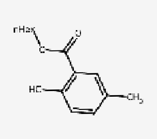 CCCCCCOC(=O)c1cc(C)ccc1O